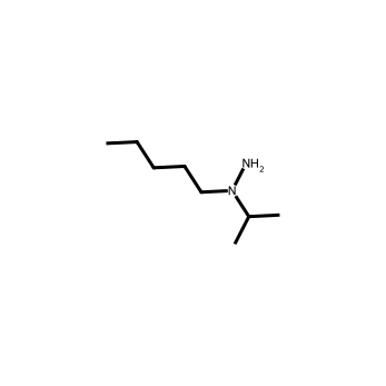 CCCCCN(N)C(C)C